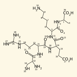 CC(NC(=O)C(CCCCN)NC(=O)C(CCC(=O)O)NC(=O)C(CCCNC(=N)N)NC(=O)C(N)CS)C(=O)O